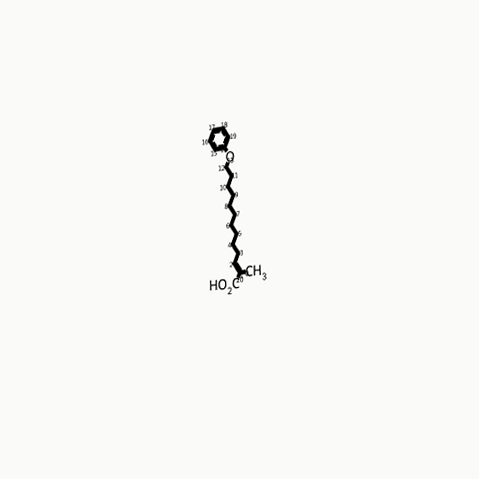 CC(=CCCCCCCCCCCOc1ccccc1)C(=O)O